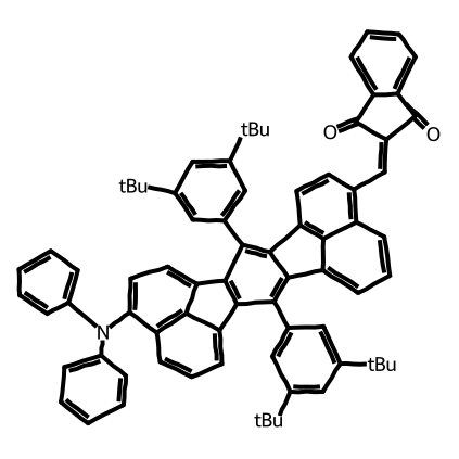 CC(C)(C)c1cc(-c2c3c4cccc5c(C=C6C(=O)c7ccccc7C6=O)ccc(c3c(-c3cc(C(C)(C)C)cc(C(C)(C)C)c3)c3c6ccc(N(c7ccccc7)c7ccccc7)c7cccc(c23)c76)c54)cc(C(C)(C)C)c1